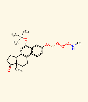 CCNOOOSOc1ccc2c3c(cc(O[Si](C)(C)C(C)(C)C)c2c1)C1CCC(=O)C1(C)CC3